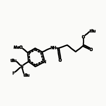 COc1cc(NC(=O)CCC(=O)OC(C)(C)C)ncc1[Si](F)(C(C)(C)C)C(C)(C)C